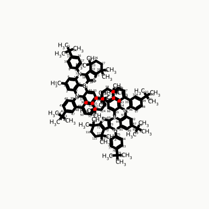 Cc1cc2c3c(c1)N(c1ccc(C(C)(C)C)cc1)c1c(sc4c1C(C)(C)CCC4(C)C)B3c1cc3c(cc1N2c1ccc(C(C)(C)C)cc1-c1cccc(CC2(C)CCC(C)(C)c4cc5c(cc42)B2c4sc6c(c4N(c4ccc(C(C)(C)C)cc4)c4cc(C(C)(C)C)cc(c42)N5c2ccc(C(C)(C)C)cc2-c2ccccc2)C(C)(C)CCC6(C)C)c1)C(C)(C)CCC3(C)C